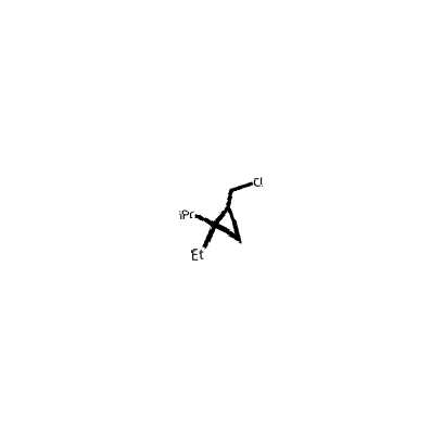 CCC1(C(C)C)CC1CCl